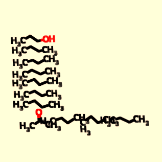 CC(C)=O.CCCC.CCCC.CCCC.CCCC.CCCC.CCCC.CCCC.CCCC.CCCC.CCCO